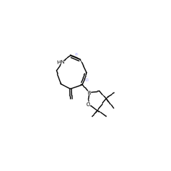 C=C1CCN/C=C\C=C/1B1CC(C)(C)C(C)(C)O1